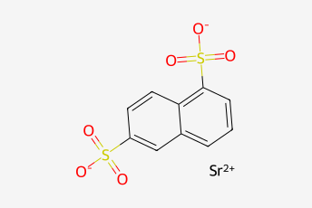 O=S(=O)([O-])c1ccc2c(S(=O)(=O)[O-])cccc2c1.[Sr+2]